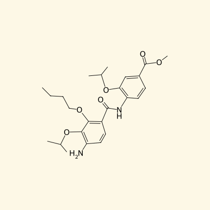 CCCCOc1c(C(=O)Nc2ccc(C(=O)OC)cc2OC(C)C)ccc(N)c1OC(C)C